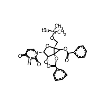 CC(C)(C)[Si](C)(C)OC[C@]12O[C@@H](n3ccc(=O)[nH]c3=O)[C@H](Cl)[C@@]1(OC(=O)c1ccccc1)C2OC(=O)c1ccccc1